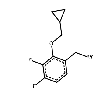 CC(C)Cc1ccc(F)c(F)c1OCC1CC1